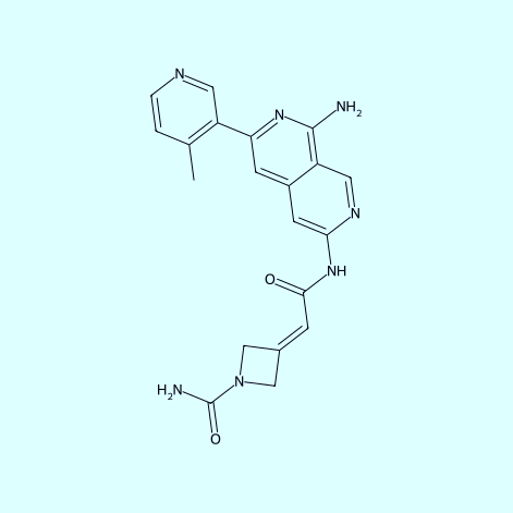 Cc1ccncc1-c1cc2cc(NC(=O)C=C3CN(C(N)=O)C3)ncc2c(N)n1